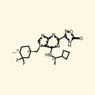 C[C@@H]1CC[C@@H](Cn2cnc3nc(-c4noc(=O)[nH]4)nc(N[C@H](C)C4CCC4)c32)CC1(F)F